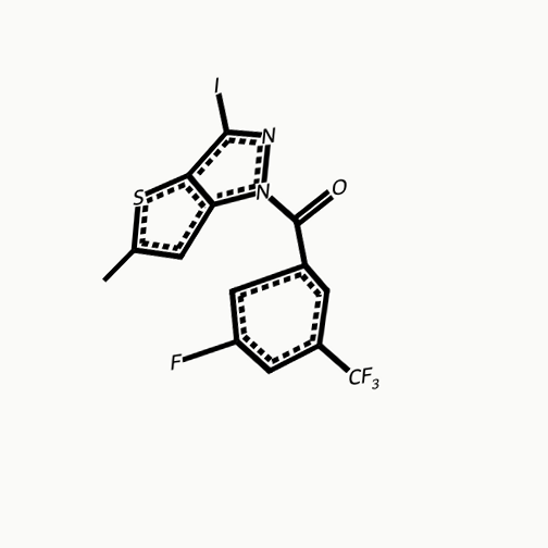 Cc1cc2c(s1)c(I)nn2C(=O)c1cc(F)cc(C(F)(F)F)c1